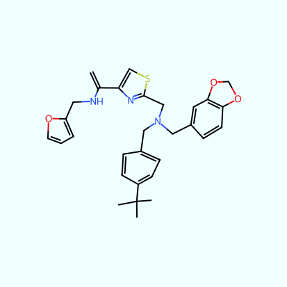 C=C(NCc1ccco1)c1csc(CN(Cc2ccc(C(C)(C)C)cc2)Cc2ccc3c(c2)OCO3)n1